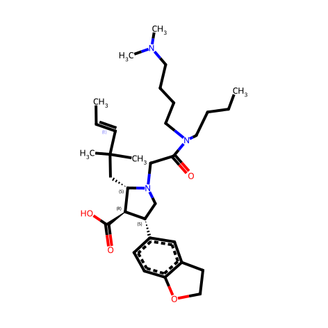 C/C=C/C(C)(C)C[C@H]1[C@H](C(=O)O)[C@@H](c2ccc3c(c2)CCO3)CN1CC(=O)N(CCCC)CCCCN(C)C